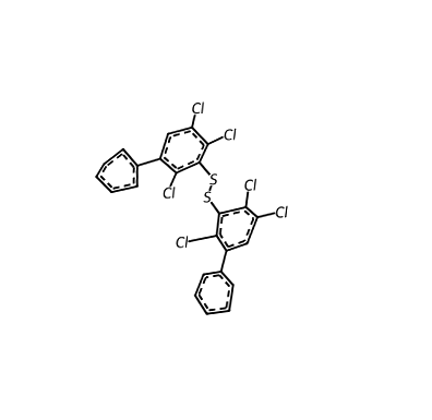 Clc1cc(-c2ccccc2)c(Cl)c(SSc2c(Cl)c(Cl)cc(-c3ccccc3)c2Cl)c1Cl